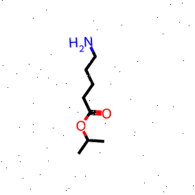 CC(C)OC(=O)CCCCN